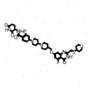 O=C1CCC(NC(=O)c2ccc(N3CCC(N4CCC(COc5cc(F)c6c(=O)[nH]c(CSC7CCOCC7)nc6c5)CC4)CC3)cc2F)C(=O)N1